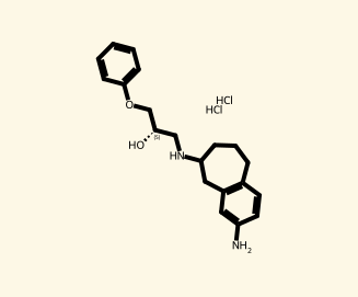 Cl.Cl.Nc1ccc2c(c1)CC(NC[C@H](O)COc1ccccc1)CCC2